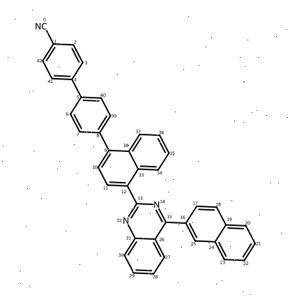 N#Cc1ccc(-c2ccc(-c3ccc(-c4nc(-c5ccc6ccccc6c5)c5ccccc5n4)c4ccccc34)cc2)cc1